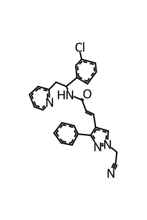 N#CCn1cc(C=CC(=O)NC(Cc2ccccn2)c2cccc(Cl)c2)c(-c2ccccc2)n1